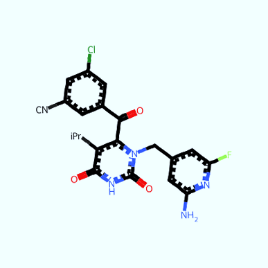 [C-]#[N+]c1cc(Cl)cc(C(=O)c2c(C(C)C)c(=O)[nH]c(=O)n2Cc2cc(N)nc(F)c2)c1